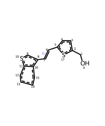 OCc1ccc(/C=C/c2csc3ccccc23)s1